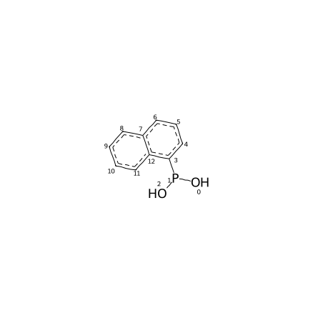 OP(O)c1cccc2ccccc12